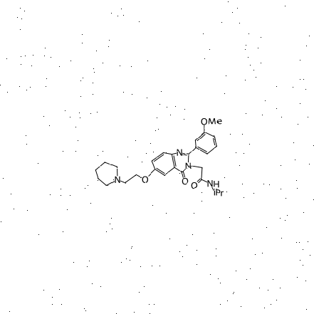 COc1cccc(-c2nc3ccc(OCCN4CCCCC4)cc3c(=O)n2CC(=O)NC(C)C)c1